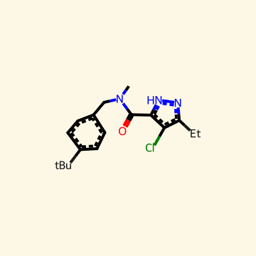 CCc1n[nH]c(C(=O)N(C)Cc2ccc(C(C)(C)C)cc2)c1Cl